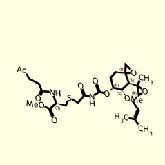 COC(=O)[C@H](CSCC(=O)NC(=O)O[C@@H]1CC[C@]2(CO2)[C@@H](C2(C)O[C@@H]2CC=C(C)C)[C@@H]1OC)NC(=O)CCC(C)=O